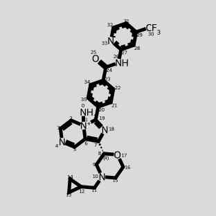 N[N+]12C=CN=CC1=C([C@H]1CN(CC3CC3)CCO1)N=C2c1ccc(C(=O)Nc2cc(C(F)(F)F)ccn2)cc1